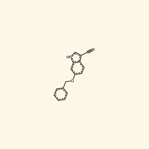 N#Cc1c[nH]c2cc(OCc3ccccc3)ccc12